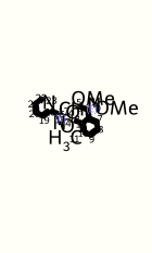 CO/N=C(/C(=O)OC)c1cccc(C)c1CO/N=C(\C)c1ccccn1